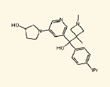 CC(C)c1ccc(C(O)(c2cncc(N3CCC(O)C3)c2)C2(C)CN(C)C2)cc1